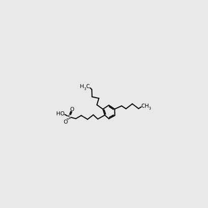 CCCCCc1ccc(CCCCCS(=O)(=O)O)c(CCCCC)c1